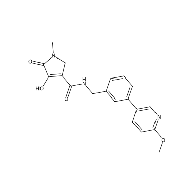 COc1ccc(-c2cccc(CNC(=O)C3=C(O)C(=O)N(C)C3)c2)cn1